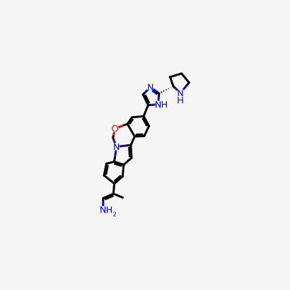 C/C(=C\N)c1ccc2c(c1)cc1n2COc2cc(-c3cnc([C@@H]4CCCN4)[nH]3)ccc2-1